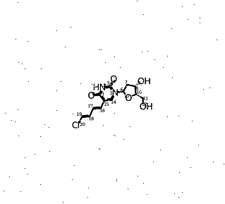 O=c1[nH]c(=O)n([C@H]2C[C@H](O)[C@@H](CO)O2)cc1/C=C/C=C/Cl